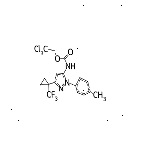 Cc1ccc(-n2nc(C3(C(F)(F)F)CC3)cc2NC(=O)OCC(Cl)(Cl)Cl)cc1